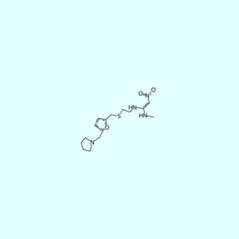 CN/C(=C/[N+](=O)[O-])NCCSCc1ccc(CN2CCCC2)o1